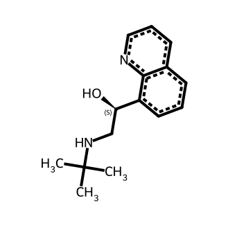 CC(C)(C)NC[C@@H](O)c1cccc2cccnc12